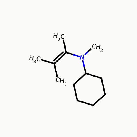 CC(C)=C(C)N(C)C1CCCCC1